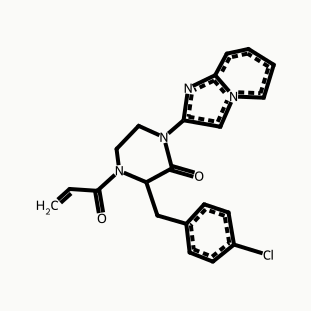 C=CC(=O)N1CCN(c2cn3ccccc3n2)C(=O)C1Cc1ccc(Cl)cc1